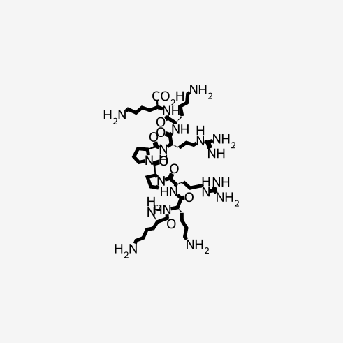 N=C(N)NCCC[C@H](NC(=O)[C@@H]1CCCN1C(=O)[C@@H]1CCCN1C(=O)[C@H](CCCNC(=N)N)NC(=O)[C@H](CCCCN)NC(=O)[C@@H](N)CCCCN)C(=O)N[C@@H](CCCCN)C(=O)N[C@@H](CCCCN)C(=O)O